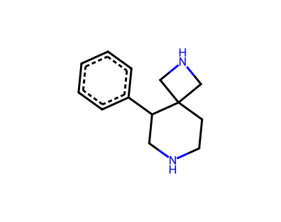 c1ccc(C2CNCCC23CNC3)cc1